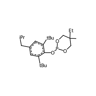 CCC1(C)COP(Oc2c(C(C)(C)C)cc(CC(C)C)cc2C(C)(C)C)OC1